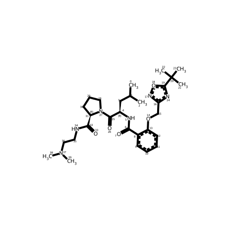 CC(C)C[C@@H](NC(=O)c1ccccc1OCc1noc(C(C)(C)C)n1)C(=O)N1CCC[C@@H]1C(=O)NCCN(C)C